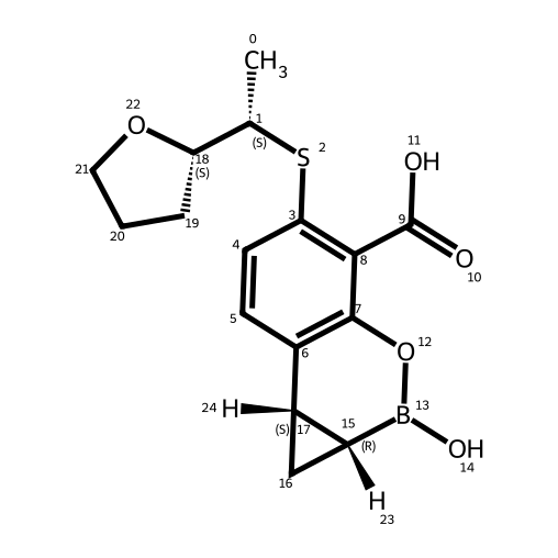 C[C@H](Sc1ccc2c(c1C(=O)O)OB(O)[C@@H]1C[C@H]21)[C@@H]1CCCO1